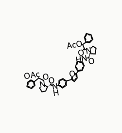 CC(=O)O[C@@H](C(=O)N1CCC[C@H]1C(=O)Nc1ccc(-c2ccc(-c3ccc(NC(=O)[C@@H]4CCCN4C(=O)[C@H](OC(C)=O)c4ccccc4)cc3)o2)cc1)c1ccccc1